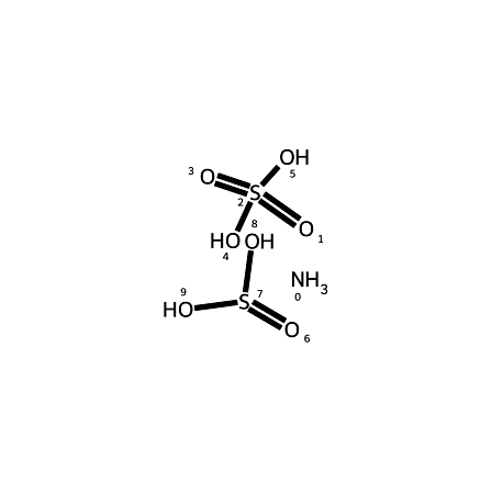 N.O=S(=O)(O)O.O=S(O)O